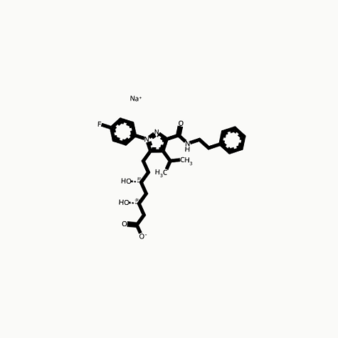 CC(C)c1c(C(=O)NCCc2ccccc2)nn(-c2ccc(F)cc2)c1CC[C@@H](O)C[C@@H](O)CC(=O)[O-].[Na+]